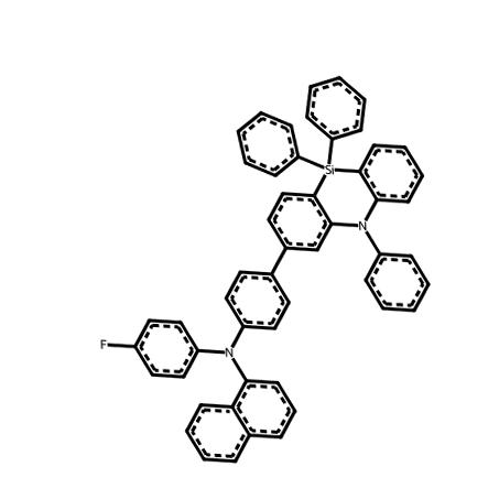 Fc1ccc(N(c2ccc(-c3ccc4c(c3)N(c3ccccc3)c3ccccc3[Si]4(c3ccccc3)c3ccccc3)cc2)c2cccc3ccccc23)cc1